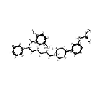 CC(C)C(=O)Nc1cccc(C2CCN(CCCCCC(Oc3cc(C(F)(F)F)ccc3F)c3ccccc3)CC2)c1